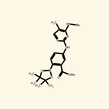 CCC(C)Nc1nc(Nc2ccc(B3OC(C)(C)C(C)(C)O3)c(C(=O)OC)c2)ncc1C